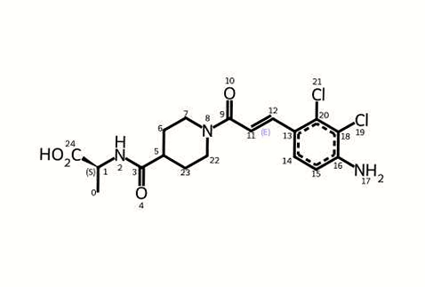 C[C@H](NC(=O)C1CCN(C(=O)/C=C/c2ccc(N)c(Cl)c2Cl)CC1)C(=O)O